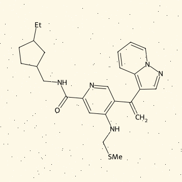 C=C(c1cnc(C(=O)NCC2CCC(CC)C2)cc1NCSC)c1cnn2ccccc12